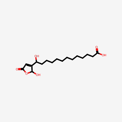 O=C(O)CCCCCCCCCCCC(O)C1=CC(=O)OC1O